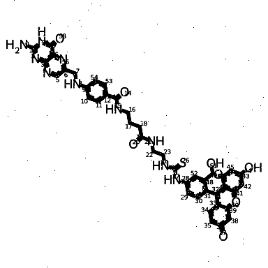 Nc1nc2ncc(CNc3ccc(C(=O)NCCCC(=O)NCCNC(=S)Nc4ccc(-c5c6ccc(=O)cc-6oc6cc(O)ccc56)c(C(=O)O)c4)cc3)nc2c(=O)[nH]1